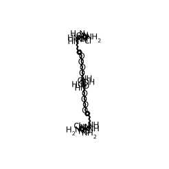 N=C(NCCCCc1ccc(OCCOCCOCCOCCNC(=O)C(O)C(O)C(=O)NCCOCCOCCOCCOc2ccc(CCCCNC(=N)NC(=O)c3nc(Cl)c(N)nc3N)cc2)cc1)NC(=O)c1nc(Cl)c(N)nc1N